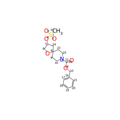 CS(=O)(=O)OC1COC2(CCN(C(=O)OCc3ccccc3)CC2)C1